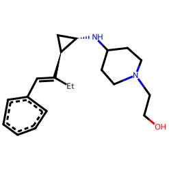 CC/C(=C\c1ccccc1)[C@H]1C[C@@H]1NC1CCN(CCO)CC1